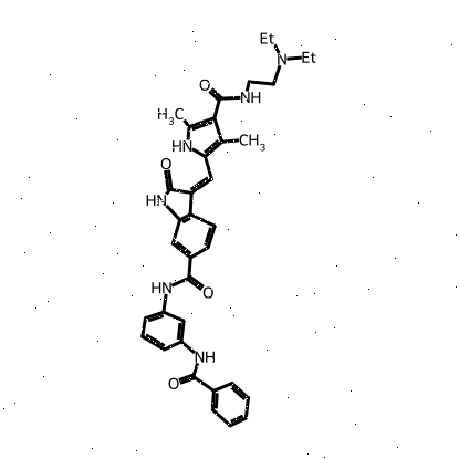 CCN(CC)CCNC(=O)c1c(C)[nH]c(C=C2C(=O)Nc3cc(C(=O)Nc4cccc(NC(=O)c5ccccc5)c4)ccc32)c1C